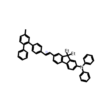 CCC1(CC)c2cc(/C=C/c3ccc(-c4cc(C)ccc4-c4ccccc4)cc3)ccc2-c2ccc(N(c3ccccc3)c3ccccc3)cc21